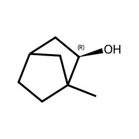 CC12CCC(C[C@H]1O)C2